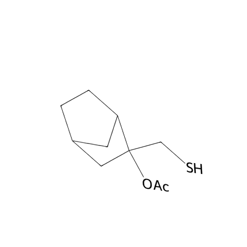 CC(=O)OC1(CS)CC2CCC1C2